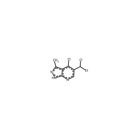 CCC(Cl)c1cnc2[nH]nc(C)c2c1Cl